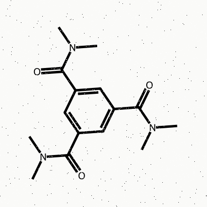 CN(C)C(=O)c1cc(C(=O)N(C)C)cc(C(=O)N(C)C)c1